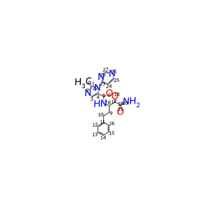 Cc1ncc(C(=O)NC(CCc2ccccc2)C(=O)C(N)=O)n1-c1ccncn1